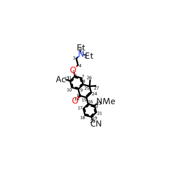 CCN(CC)CCOc1cc2c(cc1C(C)=O)C(=O)C(c1ccc(C#N)cc1NC)=CC2(C)C